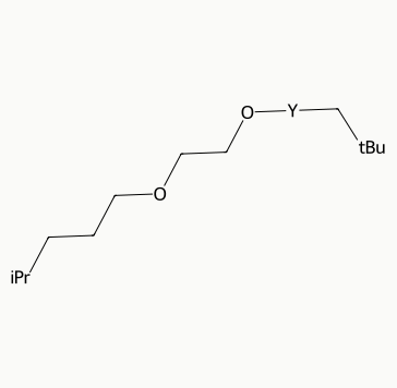 CC(C)CCCOCC[O][Y][CH2]C(C)(C)C